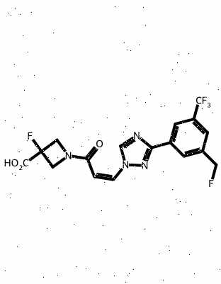 O=C(/C=C\n1cnc(-c2cc(CF)cc(C(F)(F)F)c2)n1)N1CC(F)(C(=O)O)C1